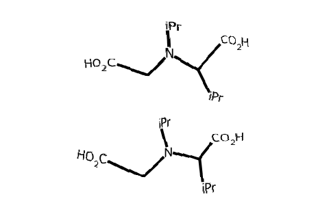 CC(C)C(C(=O)O)N(CC(=O)O)C(C)C.CC(C)C(C(=O)O)N(CC(=O)O)C(C)C